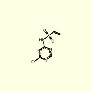 C=CS(=O)(=O)Nc1ncnc(Cl)n1